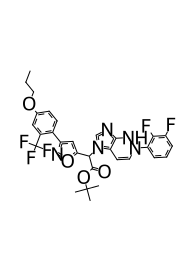 CCCOc1ccc(-c2cc(C(C(=O)OC(C)(C)C)n3cnc4c3C=CN(c3cccc(F)c3F)N4)on2)c(C(F)(F)F)c1